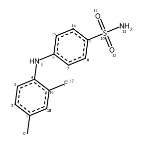 Cc1ccc(Nc2ccc(S(N)(=O)=O)cc2)c(F)c1